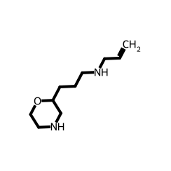 C=CCNCCCC1CNCCO1